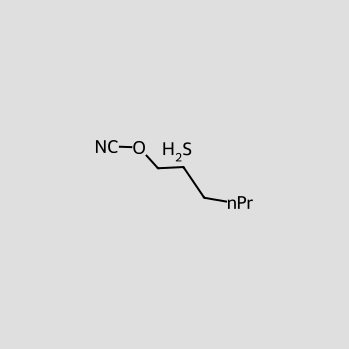 CCCCCCOC#N.S